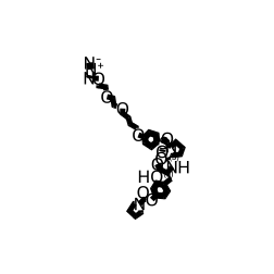 [N-]=[N+]=NOCCOCCOCCCCOc1ccc(S(=O)(=O)N2CCC[C@H]2C(=O)N[C@@H](Cc2ccc(OC(=O)N3CCCC3)cc2)C(=O)O)cc1